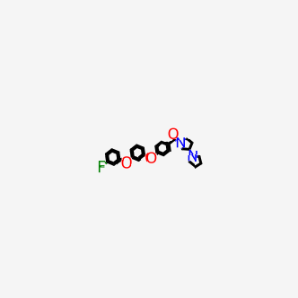 O=C(c1ccc(Oc2cccc(Oc3cccc(F)c3)c2)cc1)N1CCC(N2CCCC2)C1